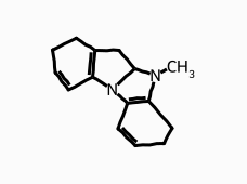 CN1C2=C(C=CCC2)N2C3=C(CCC=C3)CC12